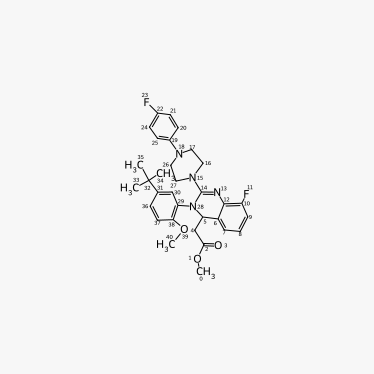 COC(=O)CC1c2cccc(F)c2N=C(N2CCN(c3ccc(F)cc3)CC2)N1c1cc(C(C)(C)C)ccc1OC